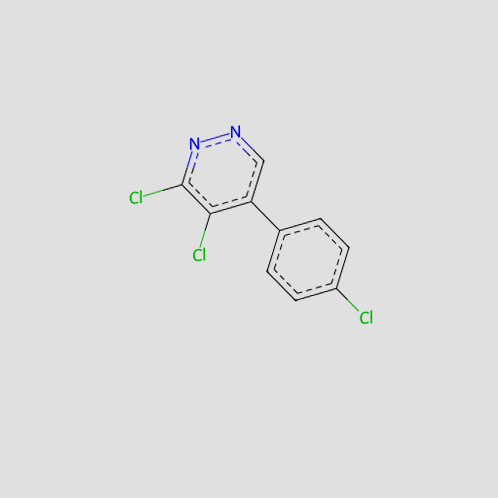 Clc1ccc(-c2cnnc(Cl)c2Cl)cc1